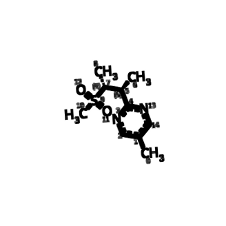 Cc1cnc([C@H](C)[C@@H](C)S(C)(=O)=O)nc1